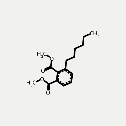 CCCCCCc1cccc(C(=O)OC)c1C(=O)OC